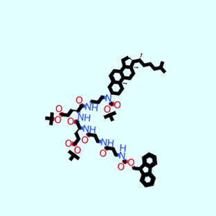 CC(C)CCC[C@@H](C)[C@H]1CCC2C3CC=C4C[C@@H](N(CCCNC(=O)[C@H](CCC(=O)OC(C)(C)C)NC(=O)[C@H](CCC(=O)OC(C)(C)C)NC(=O)CCNC(=O)CCNC(=O)OCC5c6ccccc6-c6ccccc65)C(=O)OC(C)(C)C)CC[C@]4(C)C3CC[C@@]21C